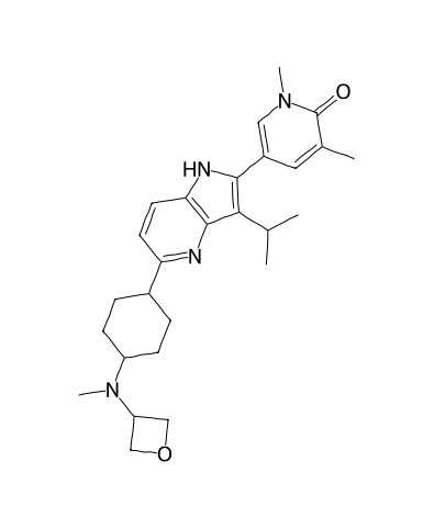 Cc1cc(-c2[nH]c3ccc(C4CCC(N(C)C5COC5)CC4)nc3c2C(C)C)cn(C)c1=O